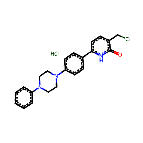 Cl.O=c1[nH]c(-c2ccc(N3CCN(c4ccccc4)CC3)cc2)ccc1CCl